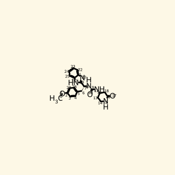 COc1ccc(C[C@@H](NC(=O)NC2CCNC(=O)C2)c2nc3ccccc3[nH]2)cc1